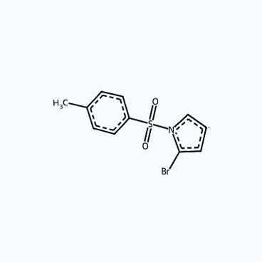 Cc1ccc(S(=O)(=O)n2c[c]cc2Br)cc1